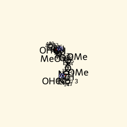 COc1cc(C)c(/N=C\C2Cc3ccccc3CN2C=O)cc1OCc1ccc(OC)c(COc2cc(/N=C\C3Cc4ccccc4CN3C)c(C=O)cc2OC)n1